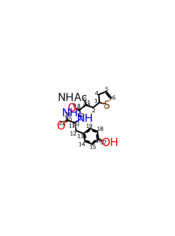 CC(=O)N[C@@H](CC1CC=CS1)C(=O)N[C@@H](Cc1ccc(O)cc1)C(N)=O